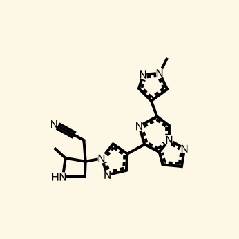 CC1NCC1(CC#N)n1cc(-c2nc(-c3cnn(C)c3)cn3nccc23)cn1